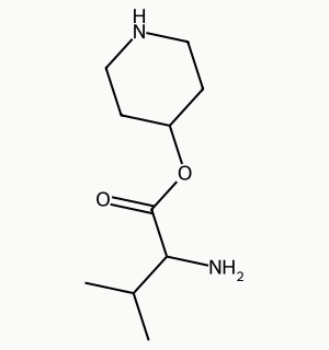 CC(C)C(N)C(=O)OC1CCNCC1